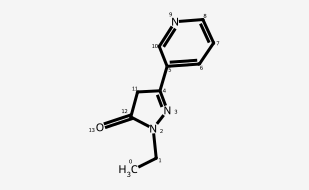 CCN1N=C(c2cccnc2)CC1=O